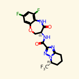 O=C(N[C@H]1COc2cc(F)cc(F)c2NC1=O)c1nc2n(n1)[C@@H](C(F)(F)F)CCC2